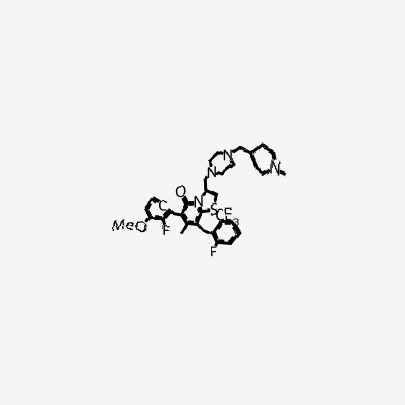 COc1cccc(-c2c(C)c(Cc3c(F)cccc3C(F)(F)F)c3n(c2=O)C(CN2CCN(CC4CCN(C)CC4)CC2)CS3)c1F